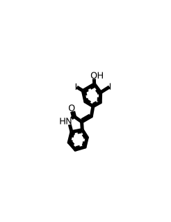 O=C1Nc2ccccc2C1=Cc1cc(I)c(O)c(I)c1